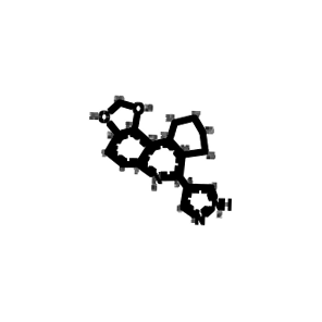 c1n[nH]cc1-c1nc2ccc3c(c2c2c1CCCC2)OCO3